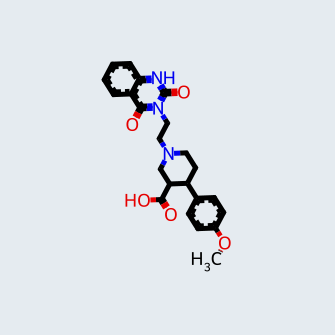 COc1ccc(C2CCN(CCn3c(=O)[nH]c4ccccc4c3=O)CC2C(=O)O)cc1